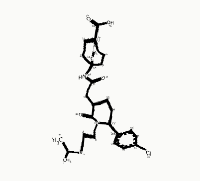 CC(C)SCCN1C(=O)C(CC(=O)NC23CCC(C(=O)O)(CC2)CC3)CCC1c1ccc(Cl)cc1